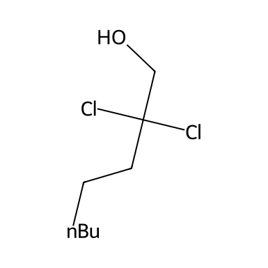 CCCCCCC(Cl)(Cl)CO